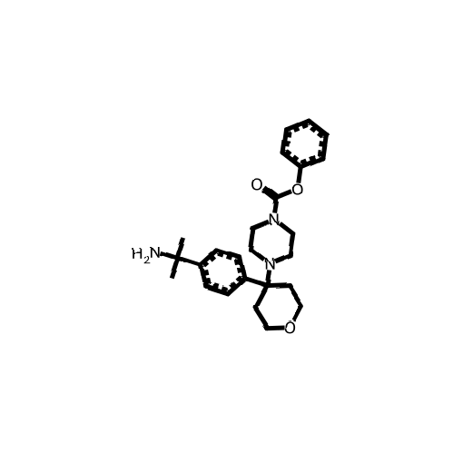 CC(C)(N)c1ccc(C2(N3CCN(C(=O)Oc4ccccc4)CC3)CCOCC2)cc1